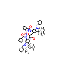 CC1N(Cc2ccccc2)c2cc(NC(=O)c3ccccc3)c(C3=C(O)/C(=c4/cc5c(cc4NC(=O)c4ccccc4)=[N+](Cc4ccccc4)C(C)C5(C)C)C3=O)cc2C1(C)C